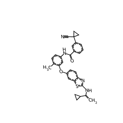 C=C(Nc1nc2ccc(Oc3cc(NC(=O)c4cccc(C5(C#N)CC5)c4)ccc3C)cc2s1)C1CC1